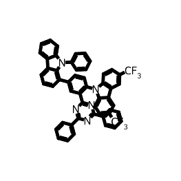 FC(F)(F)c1ccc2c(c1)c1cc(C(F)(F)F)ccc1n2-c1ccc(-c2cccc3c4ccccc4n(-c4ccccc4)c23)cc1-c1nc(-c2ccccc2)nc(-c2ccccc2)n1